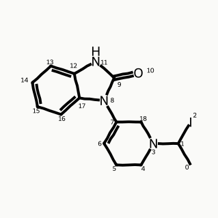 CC(I)N1CCC=C(n2c(=O)[nH]c3ccccc32)C1